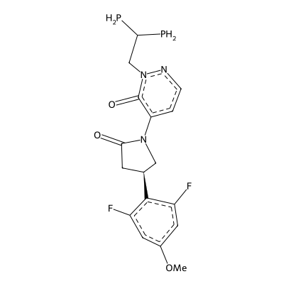 COc1cc(F)c([C@H]2CC(=O)N(c3ccnn(CC(P)P)c3=O)C2)c(F)c1